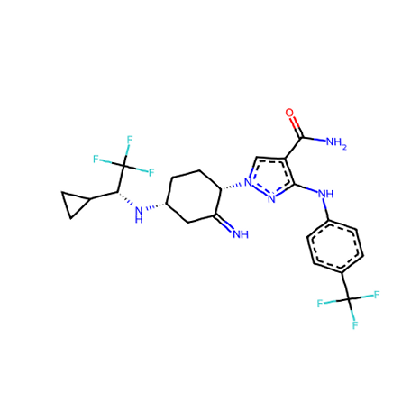 N=C1C[C@H](N[C@H](C2CC2)C(F)(F)F)CC[C@@H]1n1cc(C(N)=O)c(Nc2ccc(C(F)(F)F)cc2)n1